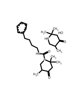 CC1CN(C(=O)NCCCCc2ccccc2)C(C)(C)CC1=O.CC1CNC(C)(C)CC1=O.Cl